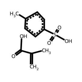 C=C(C)C(=O)O.Cc1ccc(S(=O)(=O)O)cc1